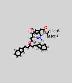 CCCCCCCC(CCCCCCC)OC(=O)CCCC(O)(CCCC(=O)OC(CCC1CC2CCCCC2C1)CCC1CC2CCCCC2C1)CCCN(C)C